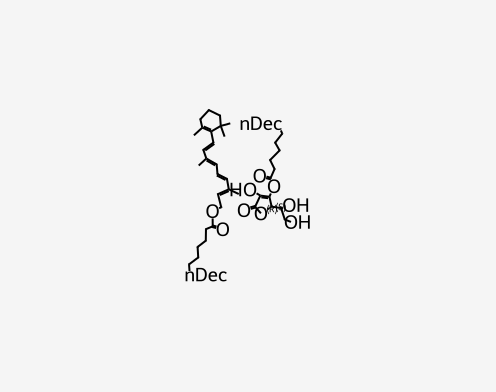 CCCCCCCCCCCCCCCC(=O)OC1=C(O)C(=O)O[C@@H]1[C@@H](O)CO.CCCCCCCCCCCCCCCC(=O)OCC=C(C)C=CC=C(C)C=CC1=C(C)CCCC1(C)C